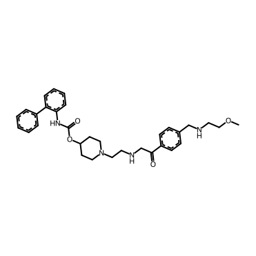 COCCNCc1ccc(C(=O)CNCCN2CCC(OC(=O)Nc3ccccc3-c3ccccc3)CC2)cc1